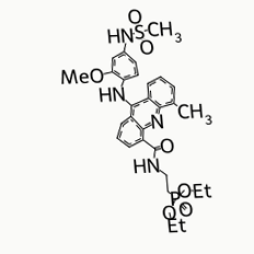 CCOP(=O)(CCNC(=O)c1cccc2c(Nc3ccc(NS(C)(=O)=O)cc3OC)c3cccc(C)c3nc12)OCC